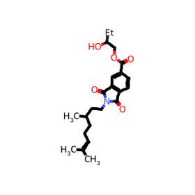 CCC(O)COC(=O)c1ccc2c(c1)C(=O)N(CCC(C)CCC=C(C)C)C2=O